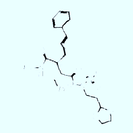 CC(C)C[C@@H](C(=O)NN(CCC1OCCO1)S(C)(=O)=O)[C@H](CC=Cc1ccccc1)C(=O)NO